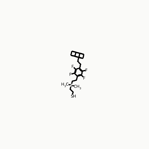 CS(C)(CCS)CCc1c(F)c(F)c(CCC23C4C5C6C4C2C6C53)c(F)c1F